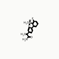 C=C(C(N)=O)c1ccc(-c2cccc(F)c2S(C)(=O)=O)cc1